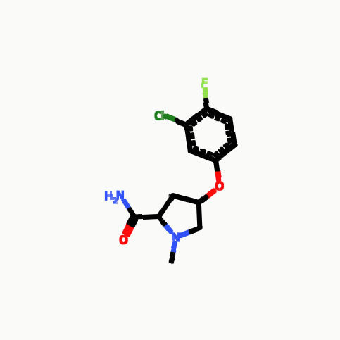 CN1CC(Oc2ccc(F)c(Cl)c2)[CH]C1C(N)=O